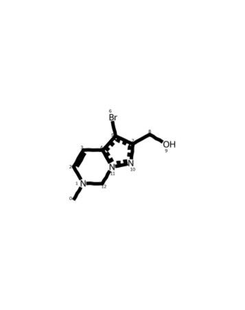 CN1C=Cc2c(Br)c(CO)nn2C1